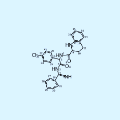 N=C(NC(=O)C(NC(=O)C1CCc2ccccc2N1)c1ccc(Cl)cc1)c1ccccc1